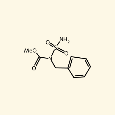 COC(=O)N(Cc1ccccc1)S(N)(=O)=O